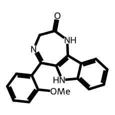 COc1ccccc1C1=NCC(=O)Nc2c1[nH]c1ccccc21